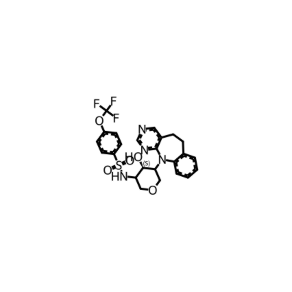 O=S(=O)(NC1COCC(N2c3ccccc3CCc3cncnc32)[C@@H]1O)c1ccc(OC(F)(F)F)cc1